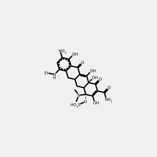 CCNc1cc([N+](=O)[O-])c(O)c2c1CC1CC3[C@@](O)(C(=O)C(C(N)=O)=C(O)[C@@]3(OS(=O)(=O)O)N(C)C)C(O)=C1C2=O